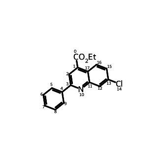 CCOC(=O)c1cc(-c2ccccc2)nc2cc(Cl)ccc12